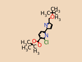 CC(C)(C)OCC1=NC(c2ccc(C(=O)OC(C)(C)C)c(Cl)n2)C=C1